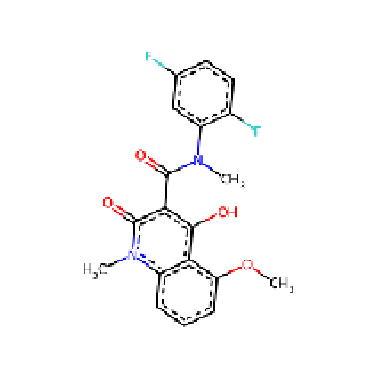 COc1cccc2c1c(O)c(C(=O)N(C)c1cc(F)ccc1F)c(=O)n2C